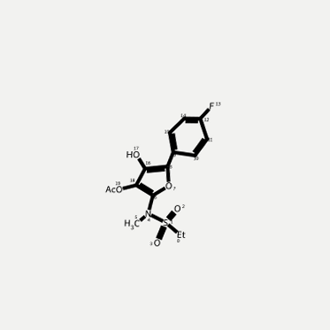 CCS(=O)(=O)N(C)c1oc(-c2ccc(F)cc2)c(O)c1OC(C)=O